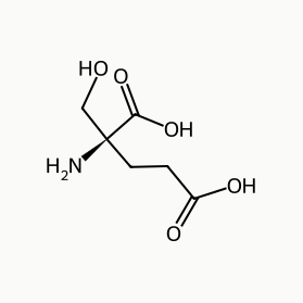 N[C@](CO)(CCC(=O)O)C(=O)O